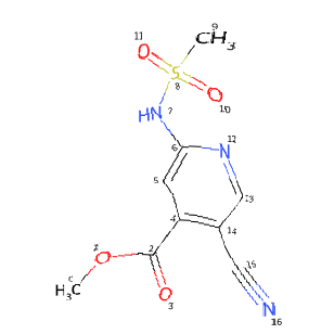 COC(=O)c1cc(NS(C)(=O)=O)ncc1C#N